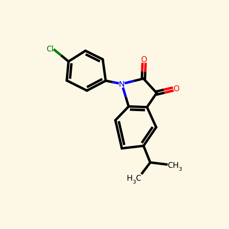 CC(C)c1ccc2c(c1)C(=O)C(=O)N2c1ccc(Cl)cc1